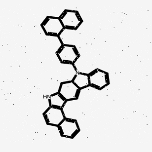 C1=C2c3ccccc3N(c3ccc(-c4cccc5ccccc45)cc3)C2Cc2[nH]c3ccc4ccccc4c3c21